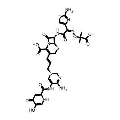 CC(C)(O/N=C(\C(=O)N[C@@H]1C(=O)N2C(C(=O)O)=C(/C=C/CN3C=C(NC(=O)c4cc(=O)c(O)c[nH]4)C(N)=NC3)CSC12)c1csc(N)n1)C(=O)O